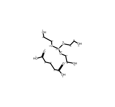 O=C(O)CCCC(=O)O.OCCON(OCCO)OCCO